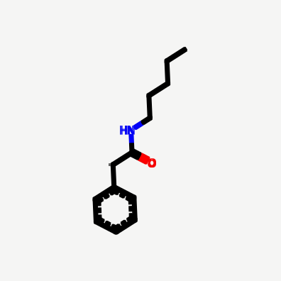 CCCCCNC(=O)[CH]c1ccccc1